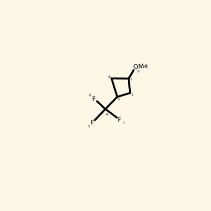 COC1CC(C(F)(F)F)C1